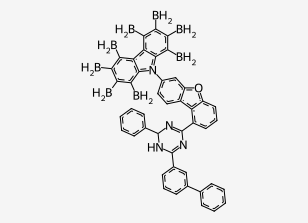 Bc1c(B)c(B)c2c(c1B)c1c(B)c(B)c(B)c(B)c1n2-c1ccc2c(c1)oc1cccc(C3=NC(c4ccccc4)NC(c4cccc(-c5ccccc5)c4)=N3)c12